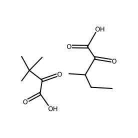 CC(C)(C)C(=O)C(=O)O.CCC(C)C(=O)C(=O)O